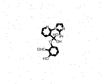 CC(C)c1nccn1-c1ncccc1C(O)(O)Oc1cccc(O)c1C=O